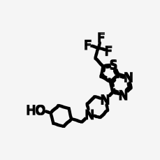 OC1CCC(CN2CCN(c3ncnc4sc(CC(F)(F)F)cc34)CC2)CC1